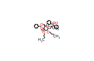 CCCCOC1C(OCCCC)[C@H](CC(C)(C)[Si](O)(c2ccccc2)c2ccccc2)OC2COC(c3ccccc3)O[C@H]21